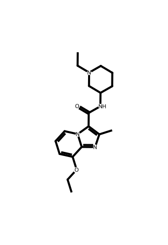 CCOc1cccn2c(C(=O)NC3CCCN(CC)C3)c(C)nc12